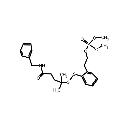 COP(=O)(OC)OCCc1ccccc1SSC(C)(C)CCC(=O)NCc1ccccc1